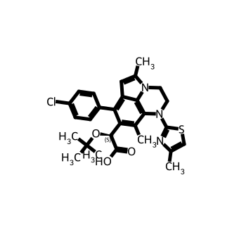 Cc1csc(N2CCn3c(C)cc4c(-c5ccc(Cl)cc5)c([C@H](OC(C)(C)C)C(=O)O)c(C)c2c43)n1